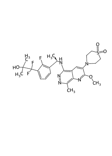 COc1nc2c(C)nnc(N[C@H](C)c3cccc(C(F)(F)C(C)(C)O)c3F)c2cc1N1CCS(=O)(=O)CC1